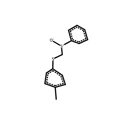 Cc1ccc(SC[S+]([O-])c2ccccc2)cc1